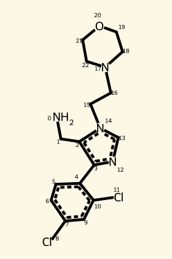 NCc1c(-c2ccc(Cl)cc2Cl)ncn1CCN1CCOCC1